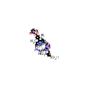 CC1=C2CCC(=O)NCCCCC(C(=O)NCc3sc(S(=O)(=O)O)cc3S(=O)(=O)O)NC(=O)CCc3c(C)c4n(c3C)[B-](F)(F)N(C1=C4c1ccc(C(=O)ON3C(=O)CCC3=O)cc1)C2C